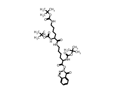 CC(C)(C)OC(=O)NCCCCC(NC(=O)OC(C)(C)C)C(=O)NCCCCC(NC(=O)OC(C)(C)C)C(=O)On1nnc2ccccc2c1=O